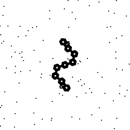 c1cc(-c2ccc(-c3cccc(-c4cccc(-c5ccc6c(c5)sc5ccccc56)c4)c3)cc2)cc(-c2cccc(-c3ccc4c(c3)oc3ccccc34)c2)c1